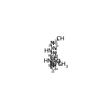 C#Cc1cnc(Nc2cc(NC3CC4CCC(C3)N4CCC)c(C(=O)OC)cn2)cn1